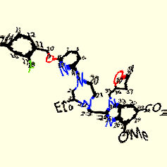 CCC1CN(c2cccc(OCc3ccc(C#N)cc3F)n2)CCN1Cc1nc2c(OC)cc(C(=O)O)cc2n1CC1CCO1